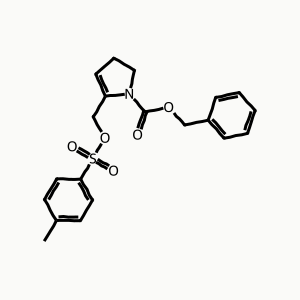 Cc1ccc(S(=O)(=O)OCC2=CCCN2C(=O)OCc2ccccc2)cc1